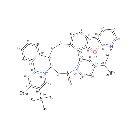 C=C1CC2C(CCc3ccc4c(oc5ncccc54)c3-c3cc(C(C)C(C)C)cc[n+]31)c1ccccc1-c1cc(CC)c([Si](C)(C)C)c[n+]12